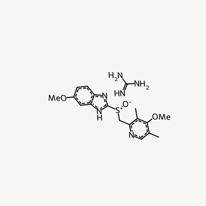 COc1ccc2nc([S@+]([O-])Cc3ncc(C)c(OC)c3C)[nH]c2c1.N=C(N)N